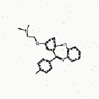 Cc1ccc(C2=Nc3ccccc3Oc3ccc(OCCN(C)C)cc32)cc1